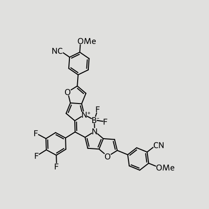 COc1ccc(-c2cc3c(o2)=CC2=C(c4cc(F)c(F)c(F)c4)c4cc5oc(-c6ccc(OC)c(C#N)c6)cc5n4[B-](F)(F)[N+]=32)cc1C#N